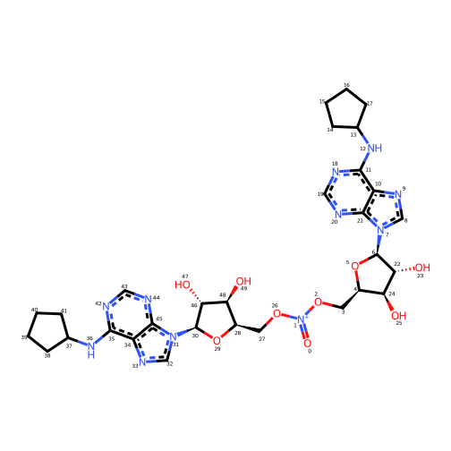 O=[N+](OC[C@H]1O[C@@H](n2cnc3c(NC4CCCC4)ncnc32)[C@H](O)[C@H]1O)OC[C@H]1O[C@@H](n2cnc3c(NC4CCCC4)ncnc32)[C@H](O)[C@H]1O